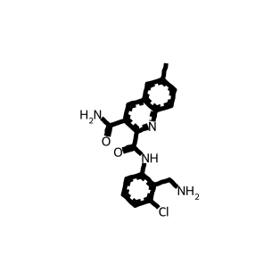 Cc1ccc2nc(C(=O)Nc3cccc(Cl)c3CN)c(C(N)=O)cc2c1